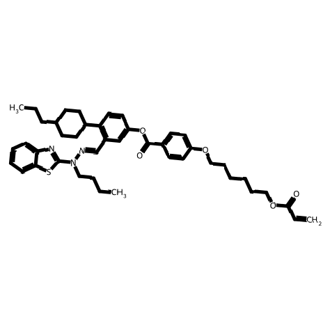 C=CC(=O)OCCCCCCOc1ccc(C(=O)Oc2ccc(C3CCC(CCC)CC3)c(/C=N/N(CCCC)c3nc4ccccc4s3)c2)cc1